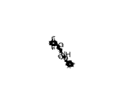 O=C(NCCCC(=O)c1cc(F)ccc1F)OCc1ccccc1